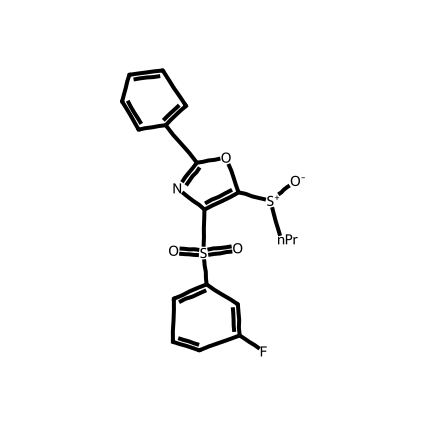 CCC[S+]([O-])c1oc(-c2ccccc2)nc1S(=O)(=O)c1cccc(F)c1